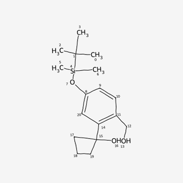 CC(C)(C)[Si](C)(C)Oc1ccc(CO)c(C2(O)CCC2)c1